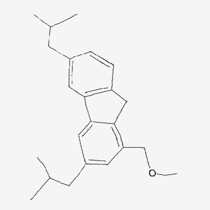 COCc1cc(CC(C)C)cc2c1Cc1ccc(CC(C)C)cc1-2